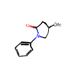 CC(=O)OC1CC(=O)N(c2ccccc2)C1